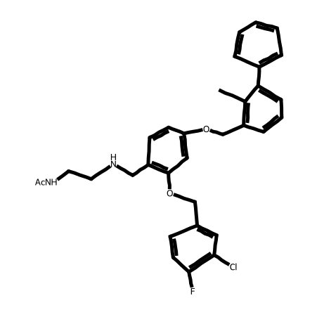 CC(=O)NCCNCc1ccc(OCc2cccc(-c3ccccc3)c2C)cc1OCc1ccc(F)c(Cl)c1